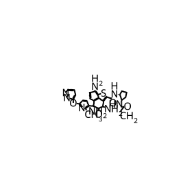 C=CC(=O)N[C@H]1CCC[C@H]1NC(=O)c1sc2c(N)ccc3c2c1C(N)C(=O)C3(N)c1ccc(Oc2cccnn2)nc1C